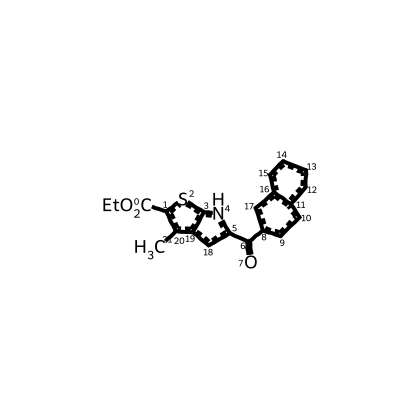 CCOC(=O)c1sc2[nH]c(C(=O)c3ccc4ccccc4c3)cc2c1C